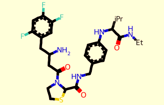 CCNC(=O)C(Nc1ccc(CNC(=O)C2SCCN2C(=O)CC(N)Cc2cc(F)c(F)cc2F)cc1)C(C)C